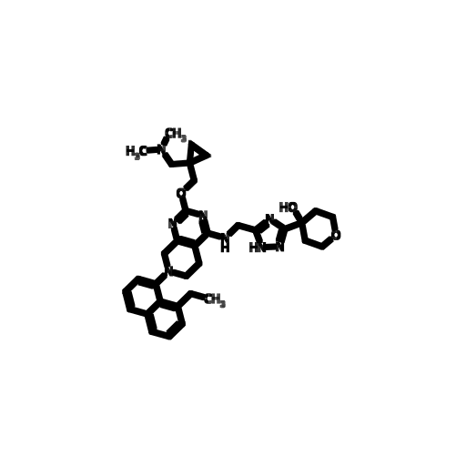 CCc1cccc2cccc(N3CCc4c(nc(OCC5(CN(C)C)CC5)nc4NCc4nc(C5(O)CCOCC5)n[nH]4)C3)c12